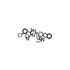 CC[S@@+]([O-])/N=C1/c2ccccc2CC12CCN(c1nc(C)c(-c3cccc(Cl)c3Cl)c(C#N)n1)CC2